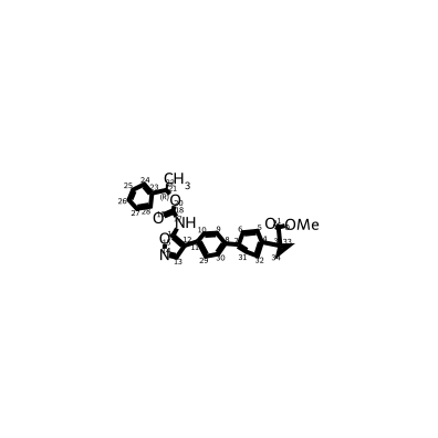 COC(=O)C1(c2ccc(-c3ccc(-c4cnoc4NC(=O)O[C@H](C)c4ccccc4)cc3)cc2)CC1